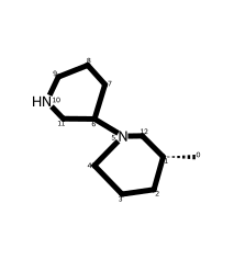 C[C@@H]1CCCN(C2CCCNC2)C1